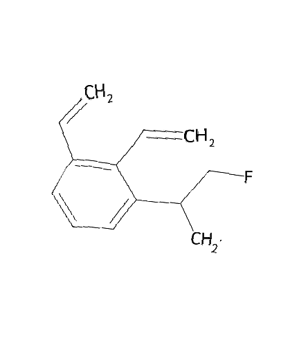 [CH2]C(CF)c1cccc(C=C)c1C=C